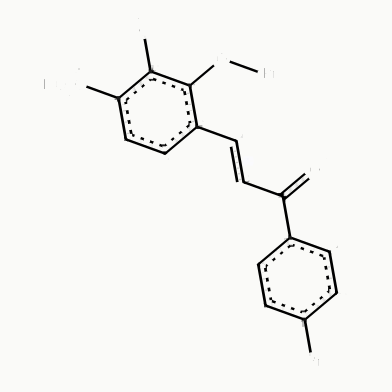 CC(C)Oc1c(/C=C/C(=O)c2ccc(Br)cc2)ccc(C(=O)O)c1C(F)(F)F